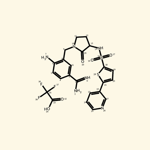 N=C(N)c1ccc(N)c(CN2CCC(NS(=O)(=O)c3ccc(-c4cccnc4)s3)C2=O)c1.O=C(O)C(F)(F)F